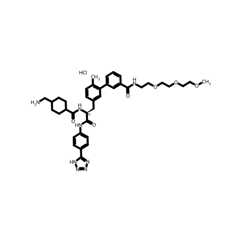 COCCOCCOCCNC(=O)c1cccc(-c2cc(C[C@H](NC(=O)C3CCC(CN)CC3)C(=O)Nc3ccc(-c4nnn[nH]4)cc3)ccc2C)c1.Cl